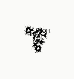 CC(C)C[C@@H](NC(=O)[C@@H](Cc1ccccc1)NC(=O)CN(CC(C)(C)c1ccccc1)C(=O)OC(C)(C)C)C(=O)O